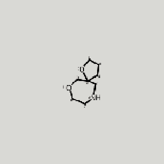 C1COC2(C1)CNCCOC2